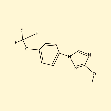 COc1ncn(-c2ccc(OC(F)(F)F)cc2)n1